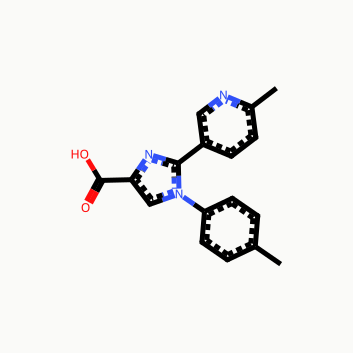 Cc1ccc(-n2cc(C(=O)O)nc2-c2ccc(C)nc2)cc1